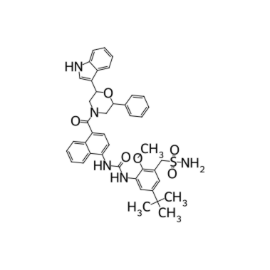 COc1c(CS(N)(=O)=O)cc(C(C)(C)C)cc1NC(=O)Nc1ccc(C(=O)N2CC(c3ccccc3)OC(c3c[nH]c4ccccc34)C2)c2ccccc12